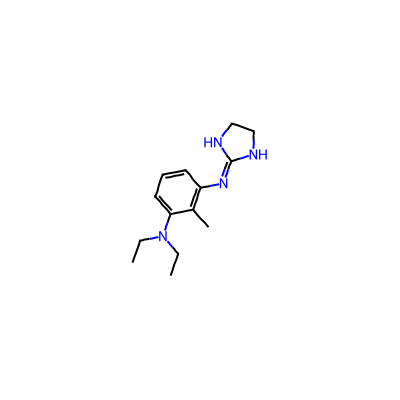 CCN(CC)c1cccc(N=C2NCCN2)c1C